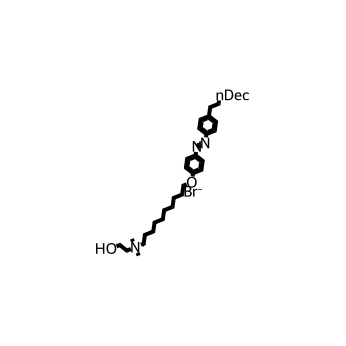 CCCCCCCCCCCCc1ccc(N=Nc2ccc(OCCCCCCCCCC[N+](C)(C)CCO)cc2)cc1.[Br-]